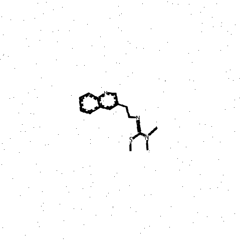 CSC(=NCCc1cnc2ccccc2c1)N(C)C